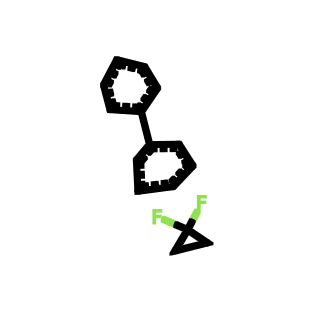 FC1(F)CC1.c1ccc(-c2ccccc2)cc1